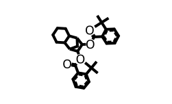 CC(C)(C)c1ccccc1C(=O)OC1C2CC(C3CCCCC32)C1OC(=O)c1ccccc1C(C)(C)C